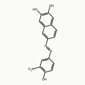 O=[N+]([O-])c1cc(/N=N/c2ccc3cc(O)c(O)cc3c2)ccc1O